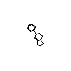 c1ccc(C2CCN3CCCC3=N2)cc1